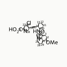 COc1ccc(S(=O)(=O)Nc2ccccc2C#Cc2cnc(C(=O)O)cc2Cl)c2ncccc12